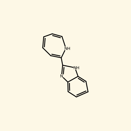 C1=CC=C(c2nc3ccccc3[nH]2)NC=C1